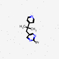 CC(C)c1ncc(CC(C)(C)c2ccncc2)cn1